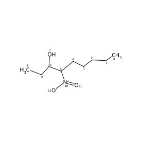 CCCCCC(C(O)CC)[N+](=O)[O-]